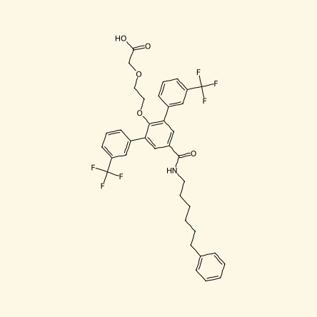 O=C(O)COCCOc1c(-c2cccc(C(F)(F)F)c2)cc(C(=O)NCCCCCCc2ccccc2)cc1-c1cccc(C(F)(F)F)c1